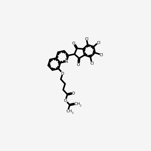 C=C(C)OC(=O)CCCOc1cccc2ccc(C3C(=O)c4c(Cl)c(Cl)c(Cl)c(Cl)c4C3=O)nc12